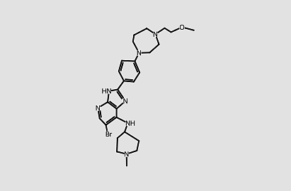 COCCN1CCCN(c2ccc(-c3nc4c(NC5CCN(C)CC5)c(Br)cnc4[nH]3)cc2)CC1